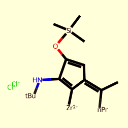 CCCC(C)=C1C=C(O[Si](C)(C)C)C(NC(C)(C)C)=[C]1[Zr+2].[Cl-].[Cl-]